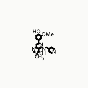 COc1cc(-c2cc3ncn(C)c(=O)c3c(NCc3ccncc3)n2)ccc1O